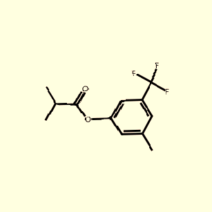 Cc1cc(OC(=O)C(C)C)cc(C(F)(F)F)c1